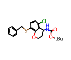 CC(C)(C)OC(=O)NC1CCOc2c(SCc3ccccc3)ccc(Cl)c21